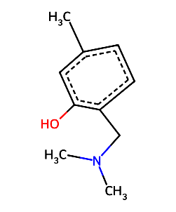 Cc1ccc(CN(C)C)c(O)c1